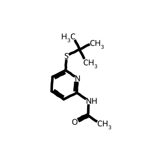 CC(=O)Nc1cccc(SC(C)(C)C)n1